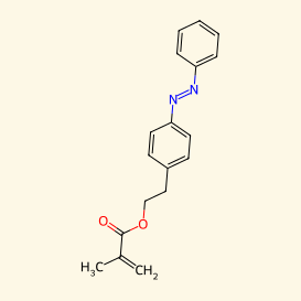 C=C(C)C(=O)OCCc1ccc(/N=N/c2ccccc2)cc1